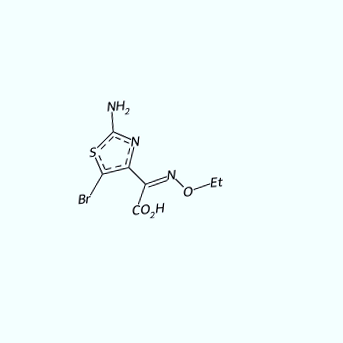 CCON=C(C(=O)O)c1nc(N)sc1Br